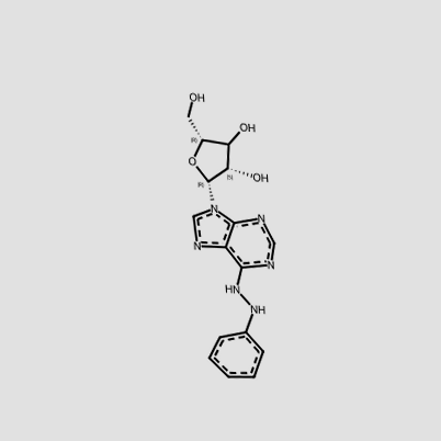 OC[C@H]1O[C@@H](n2cnc3c(NNc4ccccc4)ncnc32)[C@@H](O)C1O